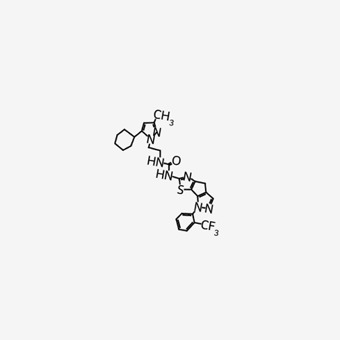 Cc1cc(C2CCCCC2)n(CCNC(=O)Nc2nc3c(s2)-c2c(cnn2-c2ccccc2C(F)(F)F)C3)n1